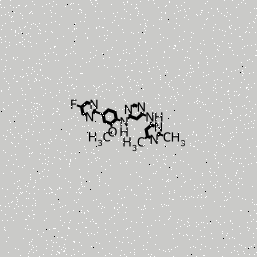 COc1cc(-c2ncc(F)cn2)ccc1Nc1cc(Nc2cc(C)nc(C)n2)ncn1